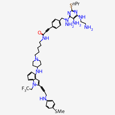 CCCSc1nc(NCCN)c(N)c(N(N)Cc2ccc(C#CC(=O)NCCCCCN3CCC(Nc4cccc5c4cc(C#CCNc4ccc(SC)cc4)n5CC(F)(F)F)CC3)cc2)n1